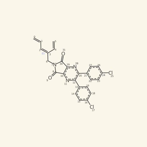 C=C/C=C(\C=C)CN1C(=O)c2nc(-c3ccc(Cl)cc3)c(-c3ccc(Cl)cc3)nc2C1=O